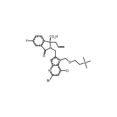 C=CC[C@@]1(C(=O)O)c2ccc(F)cc2C(=O)N1Cc1cc2nc(Br)cc(Cl)c2n1COCC[Si](C)(C)C